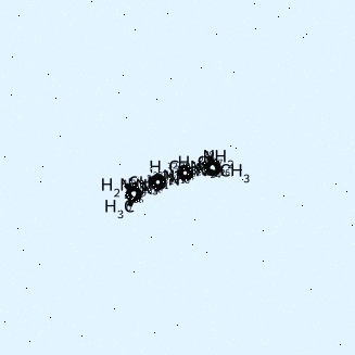 CC1=CC(N)C(C)(N=Nc2ccc(N=Nc3ccc(N=NC4(C)C=CC(C)=CC4N)cc3C)cc2)C=C1